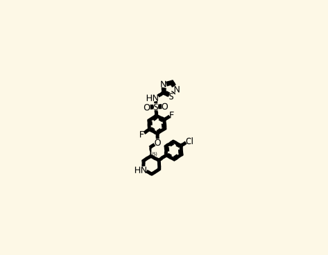 O=S(=O)(Nc1ncns1)c1cc(F)c(OC[C@@H]2CNCCC2c2ccc(Cl)cc2)cc1F